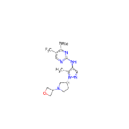 CNc1nc(Nc2cnn([C@@H]3CCN(C4COC4)C3)c2C)ncc1C(F)(F)F